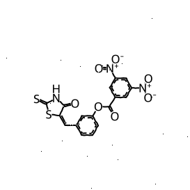 O=C1NC(=S)S/C1=C/c1cccc(OC(=O)c2cc([N+](=O)[O-])cc([N+](=O)[O-])c2)c1